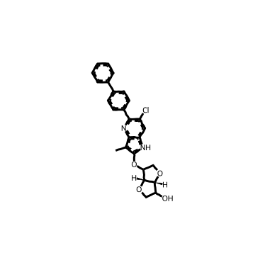 Cc1c(OC2CO[C@@H]3C(O)CO[C@H]23)[nH]c2cc(Cl)c(-c3ccc(-c4ccccc4)cc3)nc12